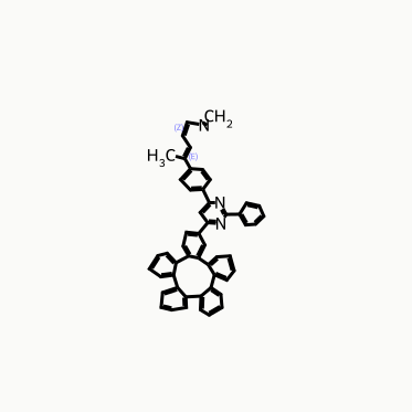 C=N/C=C\C=C(/C)c1ccc(-c2cc(-c3ccc4c5ccccc5c5ccccc5c5ccccc5c5ccccc5c4c3)nc(-c3ccccc3)n2)cc1